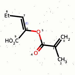 C=C(C)C(=O)O/C(=C/CC)C(=O)O